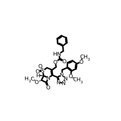 COc1ccc(Cn2nnnc2C2=C(COC(=O)NCc3ccccc3)CS(=O)(=O)[C@H]3[C@@H](OC)C(=O)N23)c(OC)c1